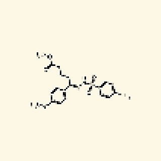 COC(=O)CCC/C(=N\NS(=O)(=O)c1ccc(C)cc1)c1ccc(OC)cc1